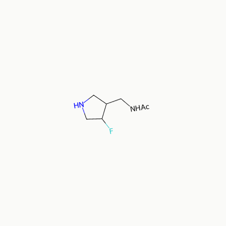 CC(=O)NCC1CNCC1F